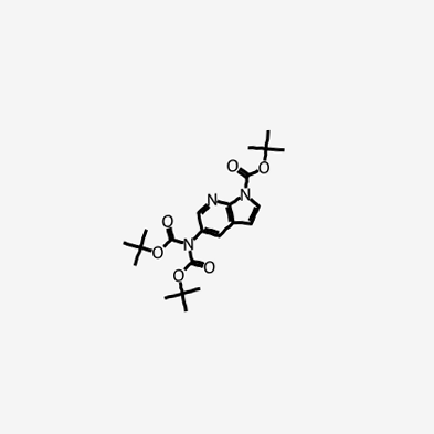 CC(C)(C)OC(=O)N(C(=O)OC(C)(C)C)c1cnc2c(ccn2C(=O)OC(C)(C)C)c1